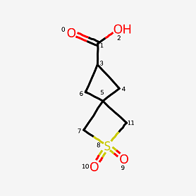 O=C(O)C1CC2(C1)CS(=O)(=O)C2